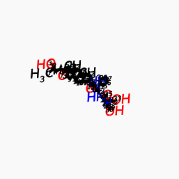 CC(CO)CCC1OC2CC3C4CCC5C[C@H](NC(=O)N(CCNC(=O)CN(CCO)CCO)C6CCCCC6)CCC5(C)C4CCC3(C)C2[C@@H]1C